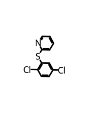 Clc1ccc(Cl)c(Sc2ccccn2)c1